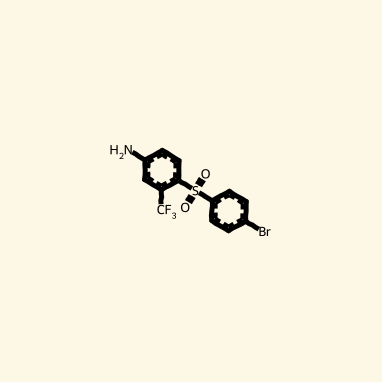 Nc1ccc(S(=O)(=O)c2ccc(Br)cc2)c(C(F)(F)F)c1